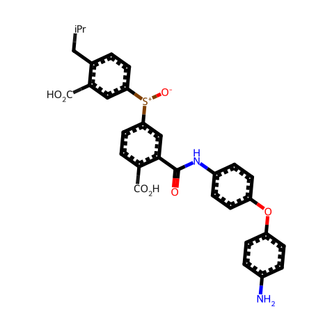 CC(C)Cc1ccc([S+]([O-])c2ccc(C(=O)O)c(C(=O)Nc3ccc(Oc4ccc(N)cc4)cc3)c2)cc1C(=O)O